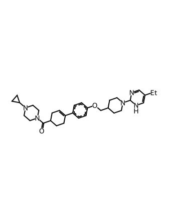 CCC1=CNC(N2CCC(COc3ccc(C4=CCC(C(=O)N5CCN(C6CC6)CC5)CC4)cc3)CC2)N=C1